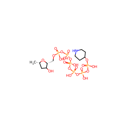 C[C@H]1CC(O)[C@@H](COP(=O)(O)OP(=O)(O)OP(=O)(O)OP(=O)(O)OP(=O)(O)OP(=O)(O)OC2CCNCC2)O1